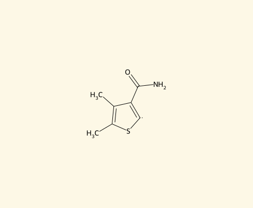 Cc1s[c]c(C(N)=O)c1C